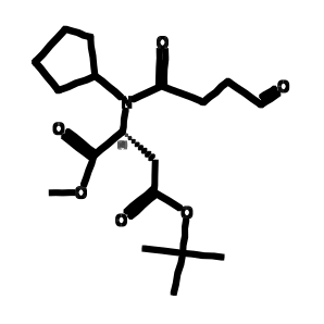 COC(=O)[C@@H](CC(=O)OC(C)(C)C)N(C(=O)CCC=O)C1CCCC1